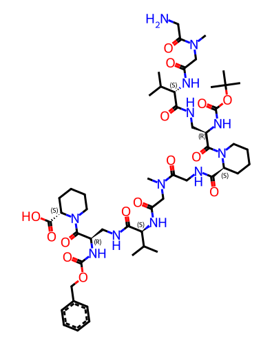 CC(C)[C@H](NC(=O)CN(C)C(=O)CN)C(=O)NC[C@@H](NC(=O)OC(C)(C)C)C(=O)N1CCCC[C@H]1C(=O)NCC(=O)N(C)CC(=O)N[C@H](C(=O)NC[C@@H](NC(=O)OCc1ccccc1)C(=O)N1CCCC[C@H]1C(=O)O)C(C)C